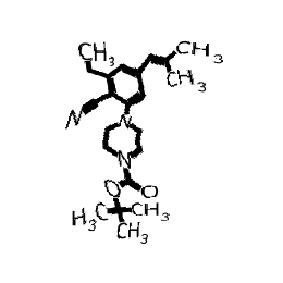 CCc1cc(C=C(C)C)cc(N2CCN(C(=O)OC(C)(C)C)CC2)c1C#N